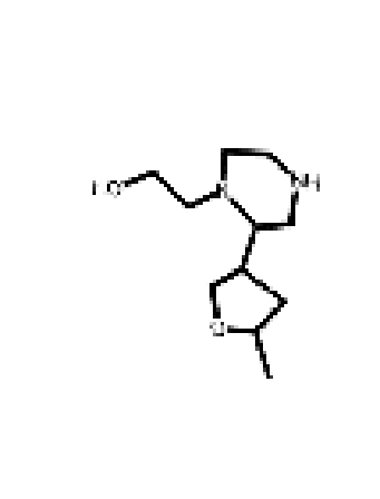 CC1CC(C2CNCCN2CCO)CO1